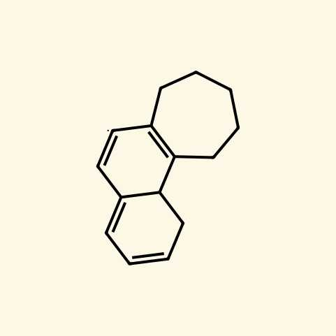 [C]1=CC2=CC=CCC2C2=C1CCCCC2